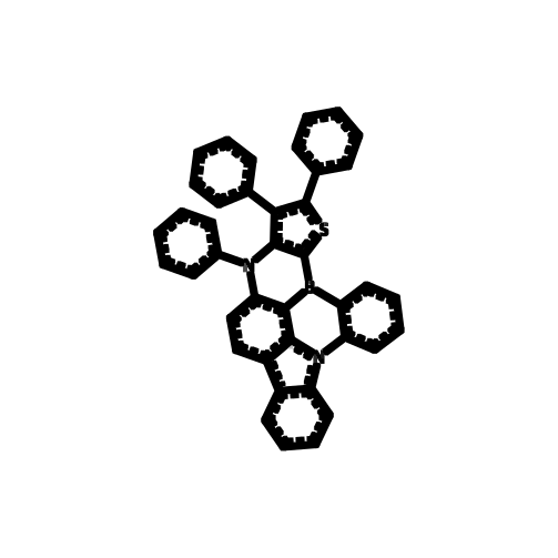 c1ccc(-c2sc3c(c2-c2ccccc2)N(c2ccccc2)c2ccc4c5ccccc5n5c4c2B3c2ccccc2-5)cc1